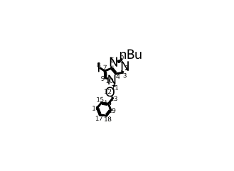 CCCCc1ncc2c(n1)c(I)cn2COCc1ccccc1